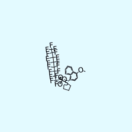 COc1ccc(S2(OS(=O)(=O)C(F)(F)C(F)(F)C(F)(F)C(F)(F)C(F)(F)C(F)(F)C(F)(F)C(F)(F)F)CCCC2)c2ccccc12